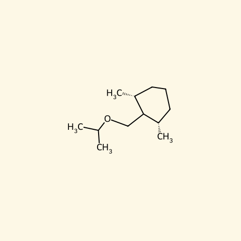 CC(C)OCC1[C@H](C)CCC[C@@H]1C